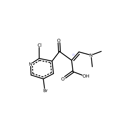 CN(C)/C=C(\C(=O)O)C(=O)c1cc(Br)cnc1Cl